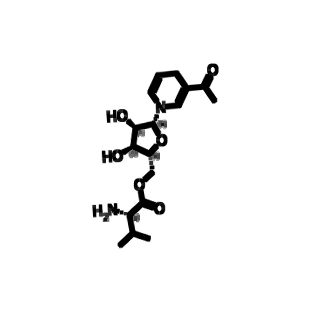 CC(=O)C1=CN([C@@H]2O[C@H](COC(=O)[C@@H](N)C(C)C)[C@@H](O)[C@H]2O)C=CC1